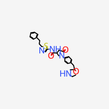 O=C(Nc1cnc(CCc2ccccc2)s1)C1CC(=O)N(c2ccc(CC3CNCCO3)cc2)C1